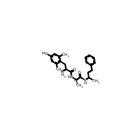 Cc1cc(O)cc(C)c1CC(N)C(=O)N[C@H](C)C(=O)NC(C)CCc1ccccc1